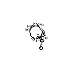 CO[C@H]1/C=C/O[C@@]2(C)Oc3c(C)c(O)c4c(=O)c(c5oc6cc(OCc7ccccc7)ccc6nc-5c4c3C2=O)NC(=O)/C(C)=C\C=C\[C@H](C)[C@H](O)[C@@H](C)[C@@H](O)[C@@H](C)[C@H](OC(C)=O)[C@@H]1C